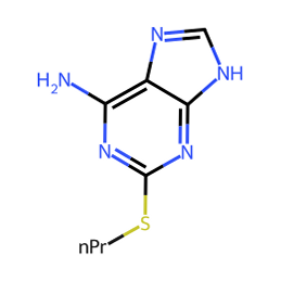 CCCSc1nc(N)c2nc[nH]c2n1